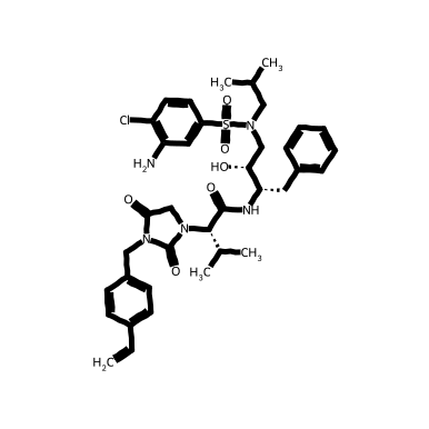 C=Cc1ccc(CN2C(=O)CN([C@H](C(=O)N[C@@H](Cc3ccccc3)[C@H](O)CN(CC(C)C)S(=O)(=O)c3ccc(Cl)c(N)c3)C(C)C)C2=O)cc1